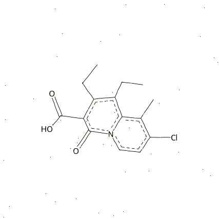 CCc1c(C(=O)O)c(=O)n2ccc(Cl)c(C)c2c1CC